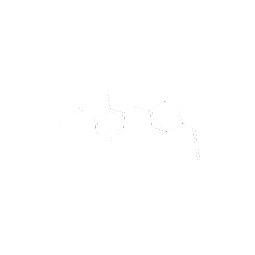 CC(C)c1c(Cc2ccc(N=C=O)cc2)cccc1N=C=O